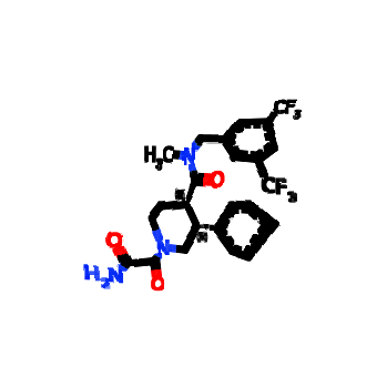 CN(Cc1cc(C(F)(F)F)cc(C(F)(F)F)c1)C(=O)[C@@H]1CCN(C(=O)C(N)=O)C[C@H]1c1ccccc1